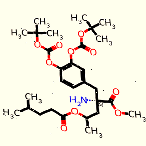 COC(=O)[C@](N)(Cc1ccc(OC(=O)OC(C)(C)C)c(OC(=O)OC(C)(C)C)c1)CC(C)OC(=O)CCC(C)C